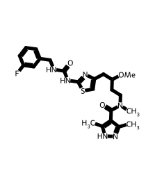 COC(CCN(C)C(=O)c1c(C)n[nH]c1C)Cc1csc(NC(=O)NCc2cccc(F)c2)n1